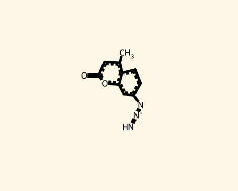 Cc1cc(=O)oc2cc(N=[N+]=N)ccc12